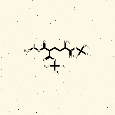 CNOC(=O)C(CCC(N)C(=O)OC(C)(C)C)C(=O)OC(C)(C)C